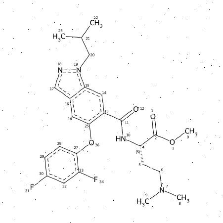 COC(=O)[C@H](CCN(C)C)NC(=O)c1cc2c(cnn2CC(C)C)cc1Oc1ccc(F)cc1F